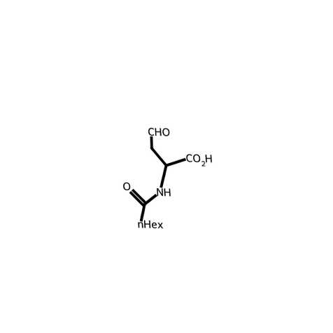 CCCCCCC(=O)NC(CC=O)C(=O)O